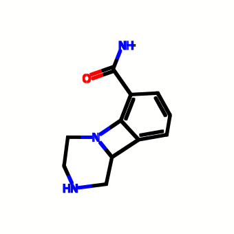 [NH]C(=O)c1cccc2c1N1CCNCC21